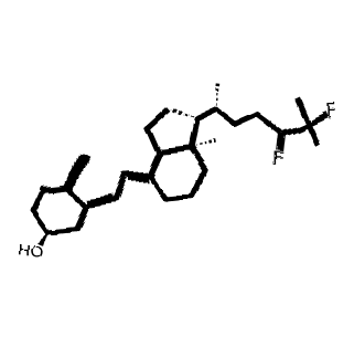 C=C1CC[C@H](O)C/C1=C/C=C1CCC[C@@]2(C)C1CC[C@@H]2[C@H](C)CCC(F)C(C)(C)F